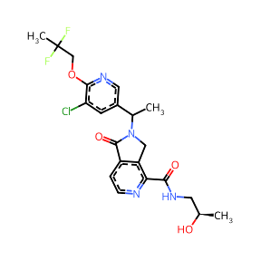 CC(c1cnc(OCC(C)(F)F)c(Cl)c1)N1Cc2c(ccnc2C(=O)NC[C@@H](C)O)C1=O